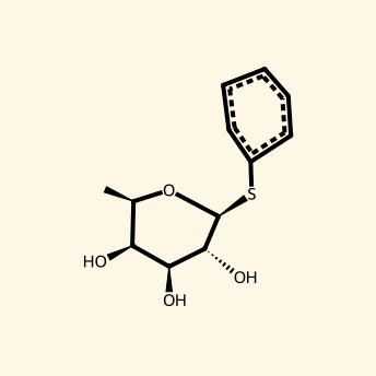 C[C@H]1O[C@@H](Sc2ccccc2)[C@H](O)[C@@H](O)[C@H]1O